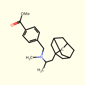 COC(=O)c1ccc(CN(C)C(C)CC23CC4CC(CC(C4)C2)C3)cc1